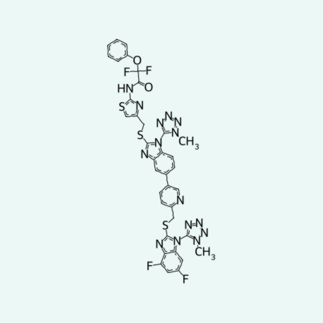 Cn1nnnc1-n1c(SCc2csc(NC(=O)C(F)(F)Oc3ccccc3)n2)nc2cc(-c3ccc(CSc4nc5c(F)cc(F)cc5n4-c4nnnn4C)nc3)ccc21